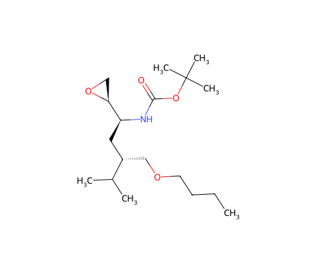 CCCCOC[C@@H](C[C@H](NC(=O)OC(C)(C)C)[C@@H]1CO1)C(C)C